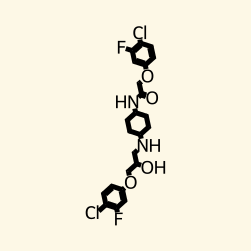 O=C(COc1ccc(Cl)c(F)c1)NC1CCC(NCC(O)COc2ccc(Cl)c(F)c2)CC1